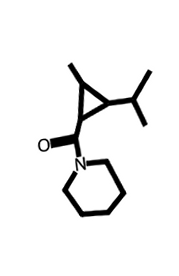 CC(C)C1C(C)C1C(=O)N1CCCCC1